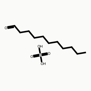 CCCCCCCCCCC=O.O=S(=O)(O)O